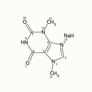 Cn1cnc2c1c(=O)[nH]c(=O)n2C.[NaH]